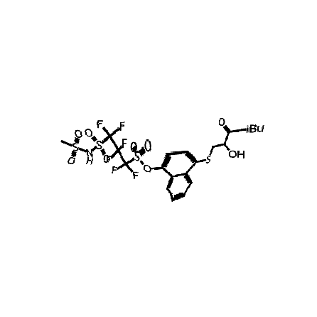 CCC(C)C(=O)C(O)CSc1ccc(OS(=O)(=O)C(F)(F)C(F)(F)C(F)(F)S(=O)(=O)NS(C)(=O)=O)c2ccccc12